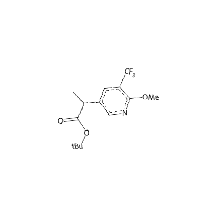 COc1ncc(C(C)C(=O)OC(C)(C)C)cc1C(F)(F)F